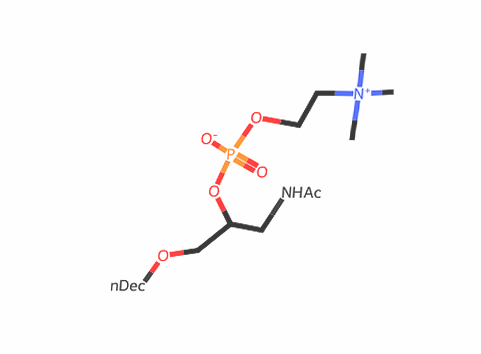 CCCCCCCCCCOCC(CNC(C)=O)OP(=O)([O-])OCC[N+](C)(C)C